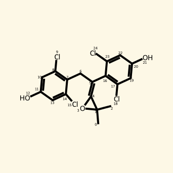 CC1(C)OC1=C(Cc1c(Cl)cc(O)cc1Cl)c1c(Cl)cc(O)cc1Cl